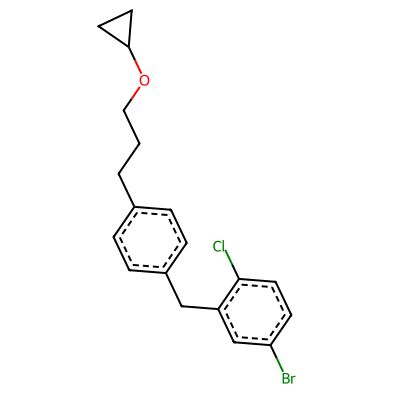 Clc1ccc(Br)cc1Cc1ccc(CCCOC2CC2)cc1